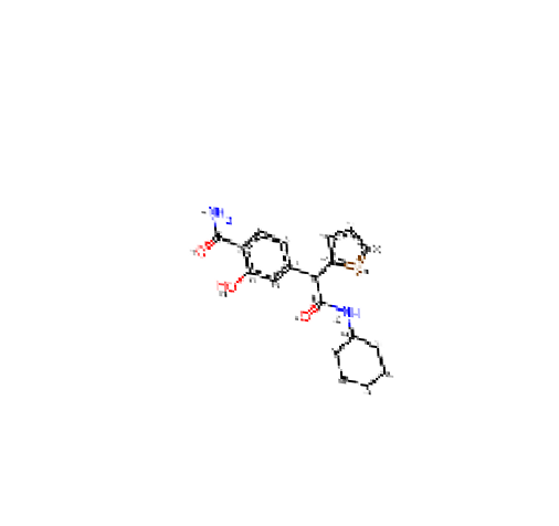 NC(=O)c1ccc(C(C(=O)NC2CCCCC2)c2cccs2)cc1O